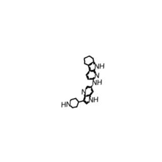 c1nc2c(C3CCNCC3)c[nH]c2cc1Nc1ccc2c3c([nH]c2n1)CCCC3